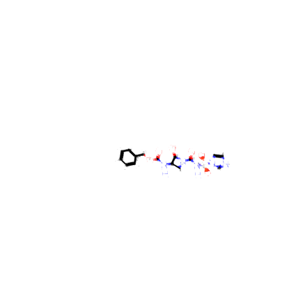 O=C(NC1CN(C(=O)NS(=O)(=O)n2ccnc2)C1=O)OCc1ccccc1